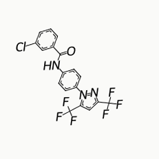 O=C(Nc1ccc(-n2nc(C(F)(F)F)cc2C(F)(F)F)cc1)c1cccc(Cl)c1